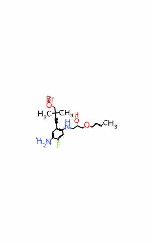 CCCCOC[C@H](O)CNc1cc(F)c(N)cc1C#CC(C)(C)COBr